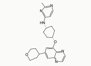 Cc1nccc(N[C@H]2CC[C@@H](Oc3cc(C4CCOCC4)cc4nccnc34)CC2)n1